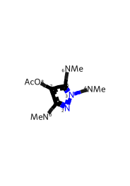 CNc1nn(NC)c(NC)c1OC(C)=O